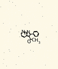 CC(=O)c1c(-c2ccccc2)nn2ncccc12